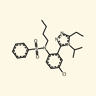 CCCCN(c1ccc(Cl)cc1-c1nnc(CC)n1C(C)C)S(=O)(=O)c1ccccc1